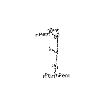 CCCCCC(CCCCC)CCCOC(=O)CCCCCCCP(CCCCCCCC(=O)OCCCC(CCCCC)CCCCC)CCCCN(C)C